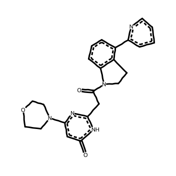 O=C(Cc1nc(N2CCOCC2)cc(=O)[nH]1)N1CCc2c(-c3ccccn3)cccc21